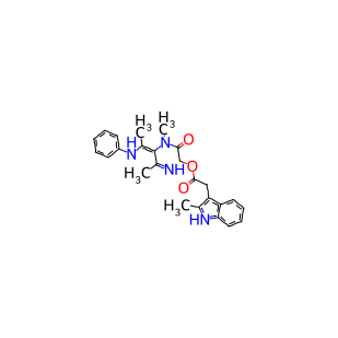 CC(=N)/C(=C(/C)Nc1ccccc1)N(C)C(=O)COC(=O)Cc1c(C)[nH]c2ccccc12